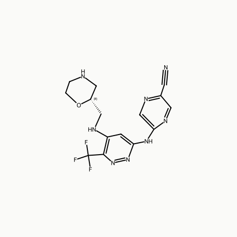 N#Cc1cnc(Nc2cc(NC[C@H]3CNCCO3)c(C(F)(F)F)nn2)cn1